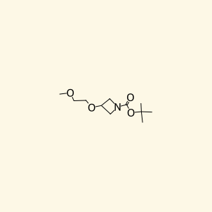 COCCOC1CN(C(=O)OC(C)(C)C)C1